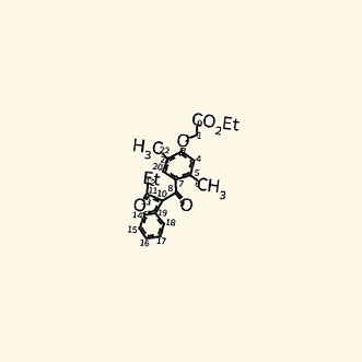 CCOC(=O)COc1cc(C)c(C(=O)c2c(CC)oc3ccccc23)cc1C